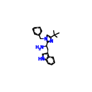 CC(C)(C)c1cn(Cc2ccccc2)c(C(N)Cc2c[nH]c3ccccc23)n1